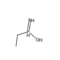 B=[PH](O)CC